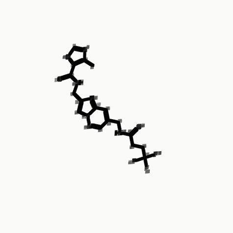 Cc1ncoc1C(=O)NCc1cn2ncc(CNC(=O)CCC(F)(F)F)cc2n1